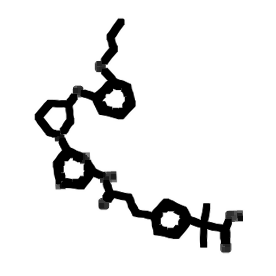 CCCOc1ccccc1OC1CCCN(c2cncc(NC(=O)CCc3ccc(C(C)(C)C(=O)O)cc3)n2)C1